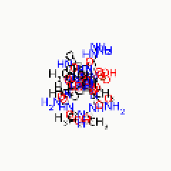 CC(C)C[C@H]1NC(=O)[C@H](CCC(N)=O)N(C)C(=O)[C@@H](NC(=O)[C@@H](CS(=O)(=O)O)NC(=O)[C@H](CCCNC(=N)N)NC(=O)[C@@H](Cc2c[nH]c3ccccc23)NC(=O)[C@@H](NC(=O)[C@H](NC(=O)[C@@H]2CCCN2C(=O)[C@H](Cc2ccccc2)NC(=O)[C@@H](C)NC=O)C(C)(C)C)C(C)(C)C)[C@@H](C)OC(=O)CN(C)C(=O)[C@H](CC(N)=O)NC(=O)[C@H]([C@@H](C)O)NC1=O